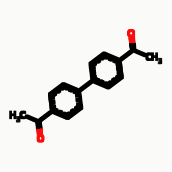 CC(=O)c1ccc(-c2ccc(C(C)=O)cc2)cc1